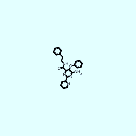 Nc1nc(-c2ccccn2)nc(C(=O)NCCc2ccccc2)c1Oc1ccccc1